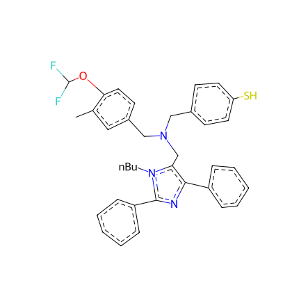 CCCCn1c(-c2ccccc2)nc(-c2ccccc2)c1CN(Cc1ccc(S)cc1)Cc1ccc(OC(F)F)c(C)c1